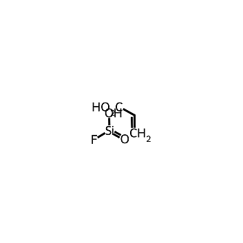 C=CC(=O)O.O=[Si](O)F